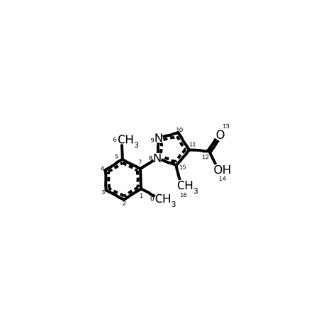 Cc1cccc(C)c1-n1ncc(C(=O)O)c1C